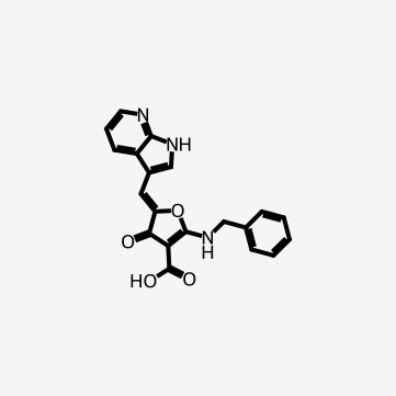 O=C(O)C1=C(NCc2ccccc2)OC(=Cc2c[nH]c3ncccc23)C1=O